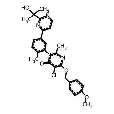 COc1ccc(COc2nc(C)n(-c3cc(-c4ccnc(C(C)(C)O)n4)ccc3C)c(=O)c2Cl)cc1